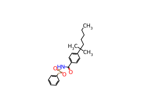 CCCCCC(C)(C)c1ccc(C(=O)NS(=O)(=O)c2ccccc2)cc1